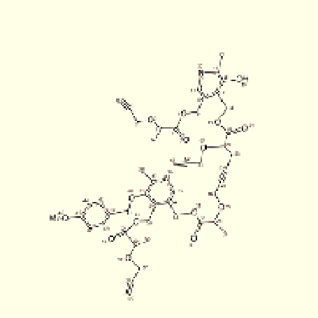 C#CCOC(C)C(=O)OCc1cnc(C)c(O)c1COC(=O)C(CC#CCOC(C)C(=O)OCc1cnc(C)c(OCc2ccc(OC)cc2)c1COC(=O)C(C)OCC#C)OCC#C